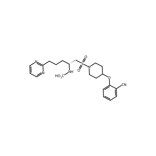 N#Cc1ccccc1OC1CCN(S(=O)(=O)C[C@@H](CCCc2ncccn2)NC(=O)O)CC1